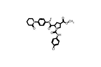 COC(=O)C1CC(C(=O)N(F)c2ccc(N3CCCCC3=O)cc2)N(C(=O)Nc2ccc(Cl)cc2)C1